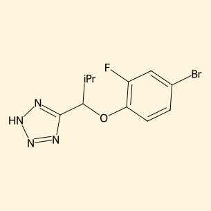 CC(C)C(Oc1ccc(Br)cc1F)c1nn[nH]n1